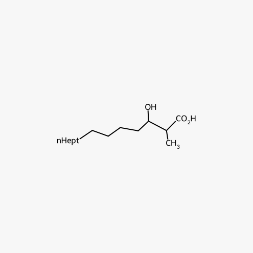 CCCCCCCCCCCC(O)C(C)C(=O)O